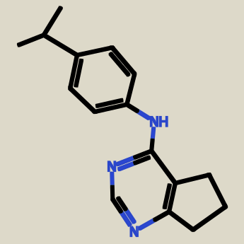 CC(C)c1ccc(Nc2ncnc3c2CCC3)cc1